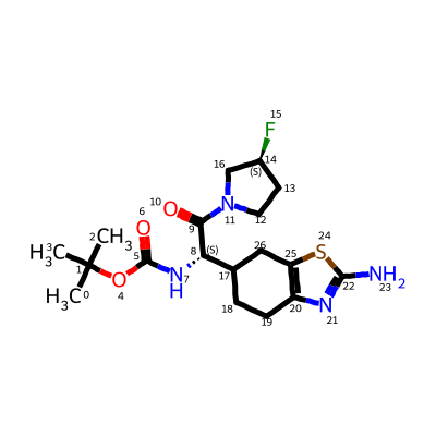 CC(C)(C)OC(=O)N[C@H](C(=O)N1CC[C@H](F)C1)C1CCc2nc(N)sc2C1